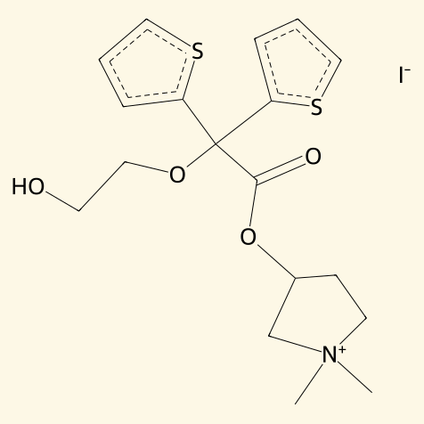 C[N+]1(C)CCC(OC(=O)C(OCCO)(c2cccs2)c2cccs2)C1.[I-]